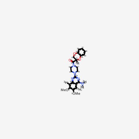 [2H]c1c(OC)c(OC)c([2H])c2c(N([2H])[2H])nc(N3CCN(C(=O)C4([2H])COc5ccccc5O4)CC3)nc12